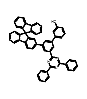 N#Cc1cccc(-c2cc(-c3ccc4c(c3)C3(c5ccccc5-c5ccccc53)c3ccccc3-4)cc(-c3nc(-c4ccccc4)nc(-c4ccccc4)n3)c2)c1